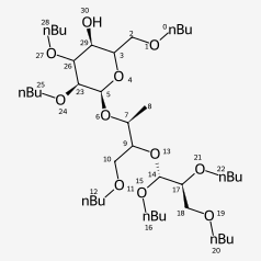 CCCCOCC1O[C@@H](O[C@@H](C)C(COCCCC)O[C@@H](OCCCC)[C@H](COCCCC)OCCCC)[C@@H](OCCCC)C(OCCCC)[C@H]1O